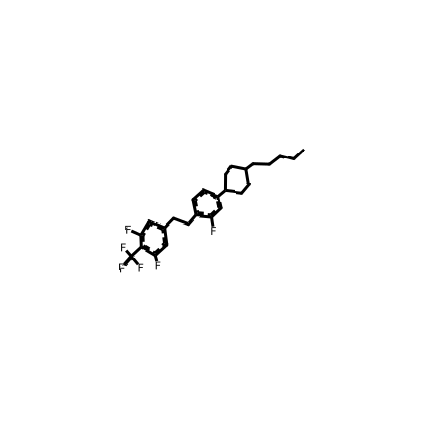 CCCCCC1CCC(c2ccc(CCc3cc(F)c(C(F)(F)F)c(F)c3)c(F)c2)CC1